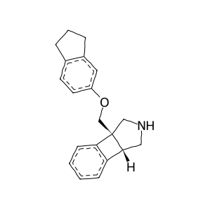 c1ccc2c(c1)[C@H]1CNC[C@@]21COc1ccc2c(c1)CCC2